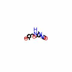 COc1ccc(CC(=O)Nc2c(C)cc(N3CCOCC3)nc2C)cc1C